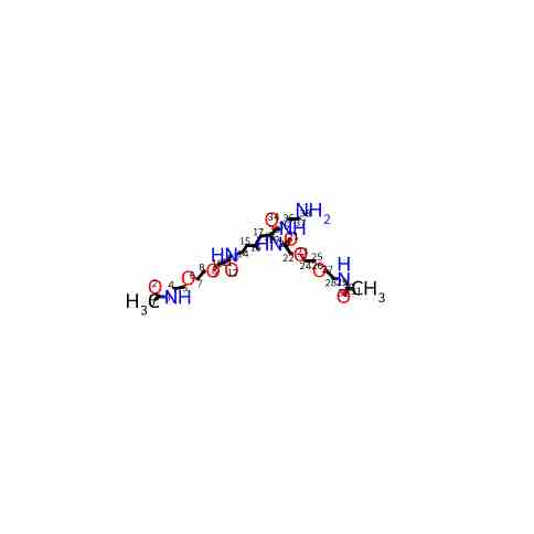 CC(=O)NCCOCCOCC(=O)NCCCCC(NC(=O)COCCOCCNC(C)=O)C(=O)NCCN